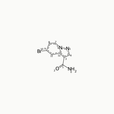 NC(=O)c1cnn2ccc(Br)cc12